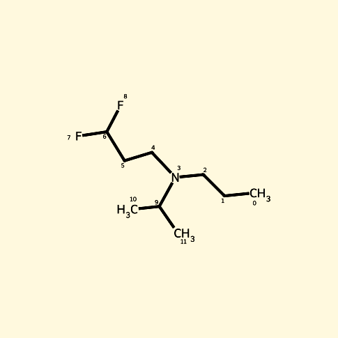 CCCN(CCC(F)F)C(C)C